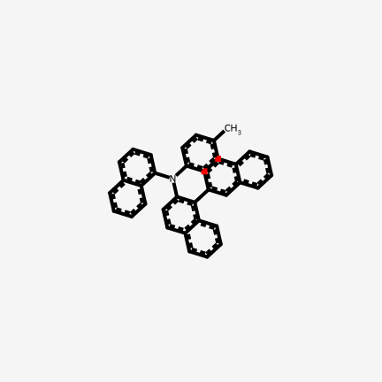 Cc1ccc(N(c2ccc3ccccc3c2-c2ccc3ccccc3c2)c2cccc3ccccc23)cc1